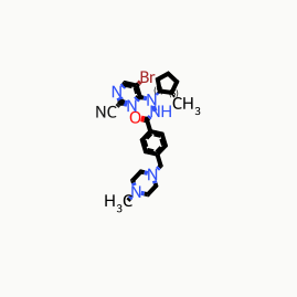 C[C@H]1CCC[C@@H]1N(NC(=O)c1ccc(CN2CCN(C)CC2)cc1)c1nc(C#N)ncc1Br